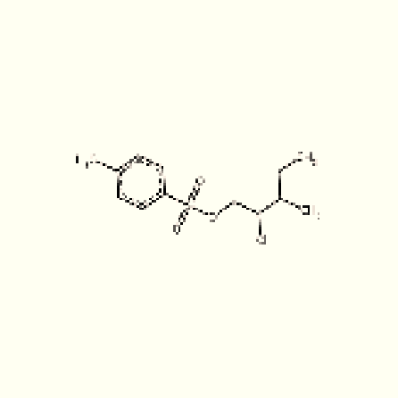 CCC(C)C(Cl)COS(=O)(=O)c1ccc(C)cc1